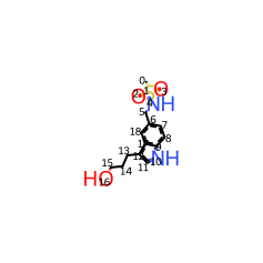 CS(=O)(=O)NCc1ccc2[nH]cc(CCCO)c2c1